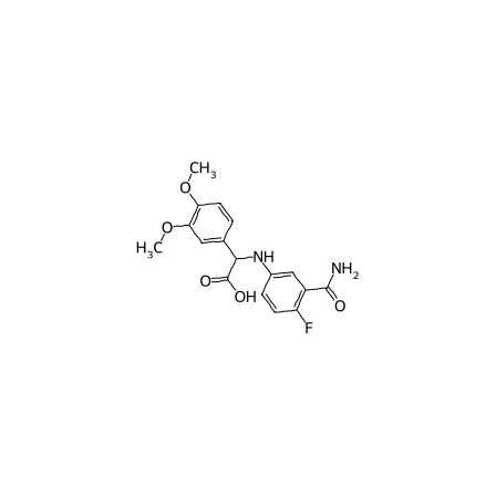 COc1ccc(C(Nc2ccc(F)c(C(N)=O)c2)C(=O)O)cc1OC